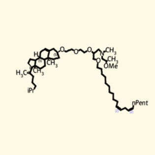 CCCCC/C=C\C/C=C\CCCCCCCCCCOCC(CN(C)CC(C)OC)OCCOCCO[C@H]1CC[C@@]2(C)C(=CC[C@@H]3C2CC[C@@]2(C)C3CC[C@@H]2[C@H](C)CCCC(C)C)C1